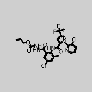 C=CCOC(=O)NNC(=O)c1cc(Cl)cc(C)c1NC(=O)c1cc(C(F)(F)F)nn1-c1ncccc1Cl